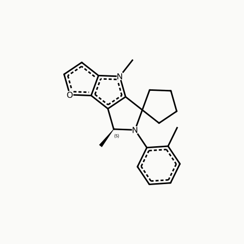 Cc1ccccc1N1[C@@H](C)c2c(n(C)c3ccoc23)C12CCCC2